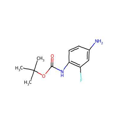 CC(C)(C)OC(=O)Nc1ccc(N)cc1F